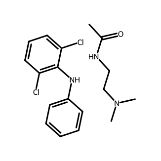 CC(=O)NCCN(C)C.Clc1cccc(Cl)c1Nc1ccccc1